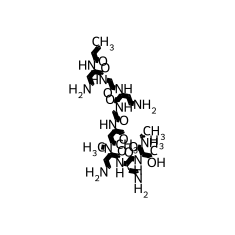 CCCC(=O)NC(CCN)C(=O)NCC(=O)NC(CCN)C(=O)NCC(=O)NC(C=O)CC(C)N(C)C(CCN)C(=O)N[C@@H](CCN)C(=O)NC(C(=O)NCC)[C@@H](C)O